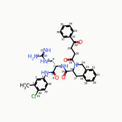 Cc1cc(NC(=O)[C@H](CNC(=N)N)NC(=O)[C@@H]2Cc3ccccc3CN2C(=O)CCC(=O)c2ccccc2)ccc1Cl